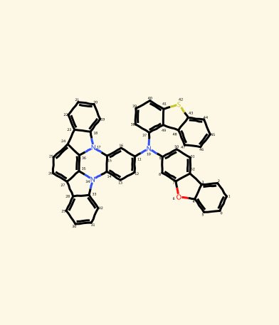 c1ccc2c(c1)oc1cc(N(c3ccc4c(c3)n3c5ccccc5c5ccc6c7ccccc7n4c6c53)c3cccc4sc5ccccc5c34)ccc12